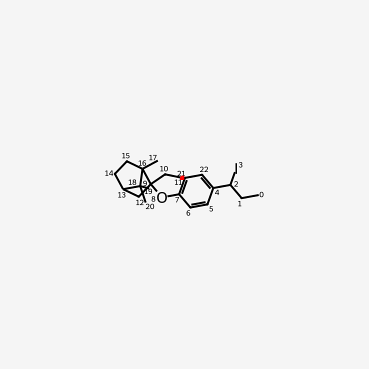 CCC(I)c1ccc(OC2(CC)CC3CCC2(C)C3(C)C)cc1